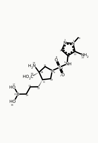 Cn1ncc(NS(=O)(=O)N2C[C@H](CCCB(O)O)[C@](N)(C(=O)O)C2)c1N